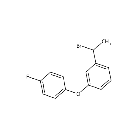 CC(Br)c1cccc(Oc2ccc(F)cc2)c1